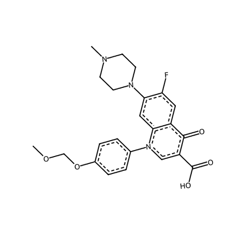 COCOc1ccc(-n2cc(C(=O)O)c(=O)c3cc(F)c(N4CCN(C)CC4)cc32)cc1